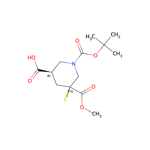 COC(=O)[C@]1(F)C[C@@H](C(=O)O)CN(C(=O)OC(C)(C)C)C1